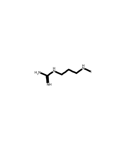 N=C(N)NCCCNI